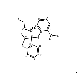 CCOC(=O)C(Cc1ccccc1OC)(c1ccccc1)C(C)C